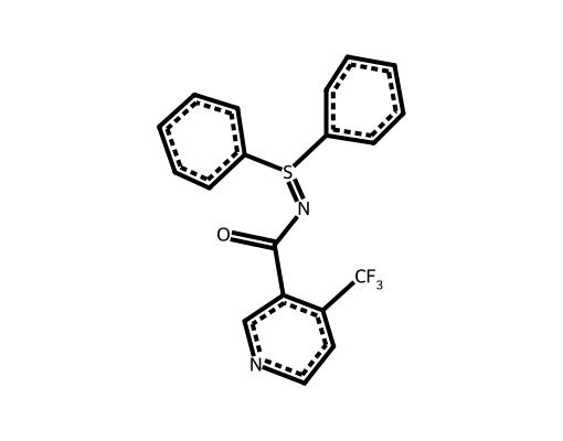 O=C(N=S(c1ccccc1)c1ccccc1)c1cnccc1C(F)(F)F